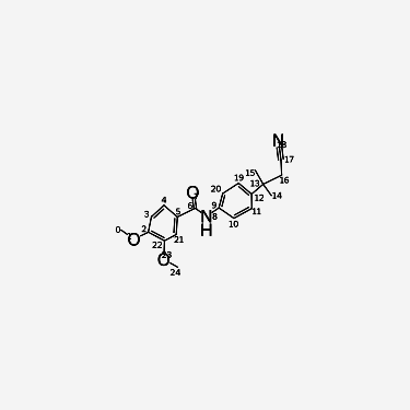 COc1ccc(C(=O)Nc2ccc(C(C)(C)CC#N)cc2)cc1OC